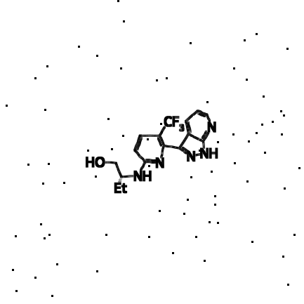 CC[C@H](CO)Nc1ccc(C(F)(F)F)c(-c2n[nH]c3ncccc23)n1